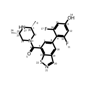 C[C@@H]1CN(C(=O)c2cc(-c3c(F)cc(O)cc3F)cc3cnsc23)C[C@H](C)N1